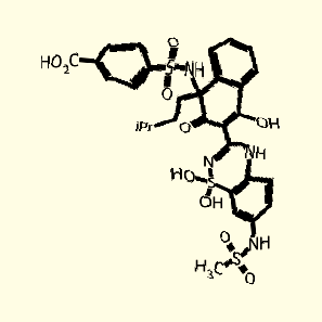 CC(C)CCC1(NS(=O)(=O)c2ccc(C(=O)O)cc2)C(=O)C(C2=NS(O)(O)c3cc(NS(C)(=O)=O)ccc3N2)=C(O)c2ccccc21